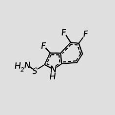 NSc1[nH]c2ccc(F)c(F)c2c1F